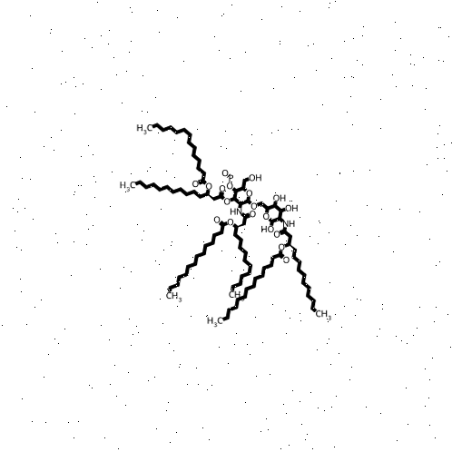 CCCCCCCCCCCCCC(=O)O[C@H](CCCCCCCCCCC)CC(=O)NC1C(O)OC(COC2OC(CO)C(OP=O)C(OC(=O)C[C@@H](CCCCCCCCCCC)OC(=O)CCCCCCCCCCCCC)C2NC(=O)C[C@@H](CCCCCCCCCCC)OC(=O)CCCCCCCCCCCCC)C(O)C1O